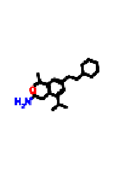 CC(C)c1cc(CCC2CCCCC2)cc(C(C)C)c1CC(N)=O